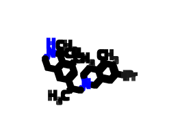 Cc1cc(C(C)C)cc2c1CCN(CC(C)c1cc(C)c3c(c1)CCNC3(C)C)C2